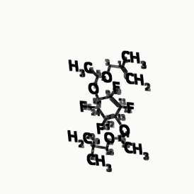 C=C(C)COC(C)Oc1c(F)c(F)c(OC(C)OCC(=C)C)c(F)c1F